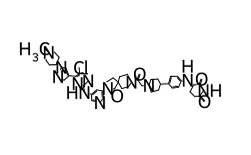 CN1CCC(n2cc(-c3nc(Nc4cncc(N5CCC6(CCN(C(=O)CN7CCC(c8ccc(NC9CCC(=O)NC9=O)cc8)CC7)CC6)C5=O)c4)ncc3Cl)cn2)CC1